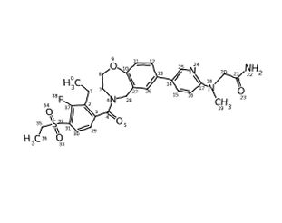 CCc1c(C(=O)N2CCOc3ccc(-c4ccc(N(C)CC(N)=O)nc4)cc3C2)ccc(S(=O)(=O)CC)c1F